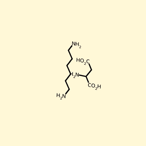 NC(CC(=O)O)C(=O)O.NCCCCCCN